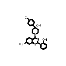 Cc1ccc2c(N3CCC(O)(c4ccc(Cl)cc4)CC3)nc(-c3ccccc3O)nc2c1